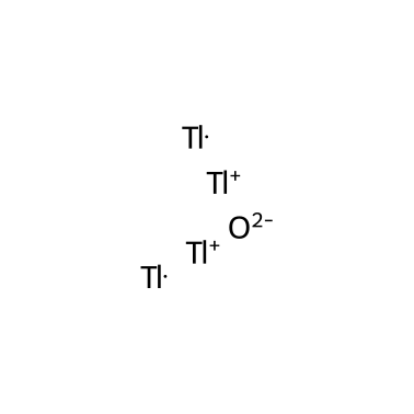 [O-2].[Tl+].[Tl+].[Tl].[Tl]